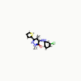 CCn1nc(-c2cccs2)c(C(C)=O)c(Nc2cccc(Cl)c2)c1=O